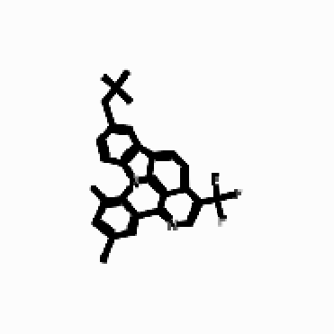 Cc1cc(C)c2c(c1)c1ncc(C(F)(F)F)c3ccc4c5cc(CC(C)(C)C)ccc5n2c4c31